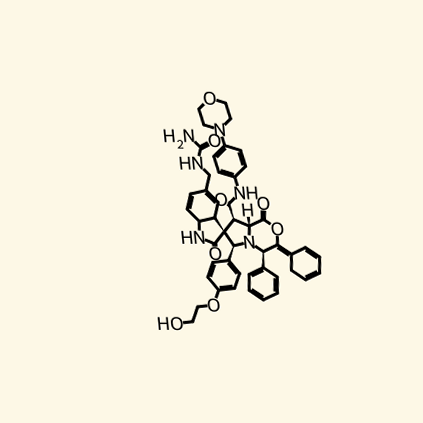 NC(=O)NCC1=CC2C(C=C1)NC(=O)[C@]21[C@H](c2ccc(OCCO)cc2)N2[C@H](c3ccccc3)/C(=C3/C=CC=CC3)OC(=O)[C@H]2[C@@H]1C(=O)Nc1ccc(N2CCOCC2)cc1